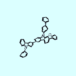 c1ccc(-c2ccc(-n3c4ccc(-c5ccc6c(c5)c5ccccc5n6-c5ccccc5)cc4c4ccc5c6ccccc6oc5c43)cc2)cc1